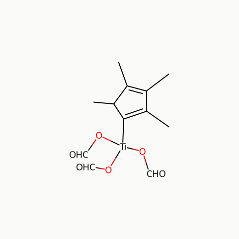 CC1=C(C)C(C)[C]([Ti]([O]C=O)([O]C=O)[O]C=O)=C1C